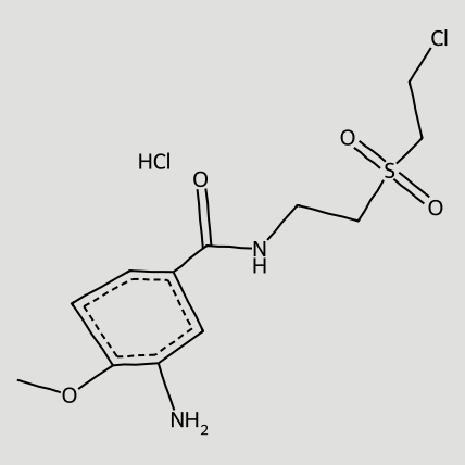 COc1ccc(C(=O)NCCS(=O)(=O)CCCl)cc1N.Cl